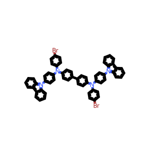 Brc1ccc(N(c2ccc(-c3ccc(N(c4ccc(Br)cc4)c4ccc(-n5c6ccccc6c6ccccc65)cc4)cc3)cc2)c2ccc(-n3c4ccccc4c4ccccc43)cc2)cc1